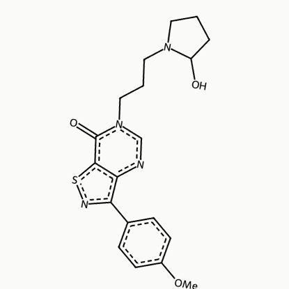 COc1ccc(-c2nsc3c(=O)n(CCCN4CCCC4O)cnc23)cc1